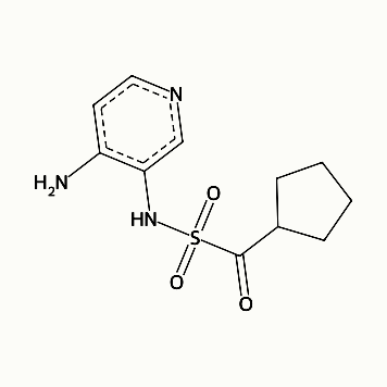 Nc1ccncc1NS(=O)(=O)C(=O)C1CCCC1